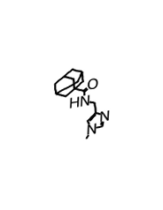 Cn1cnc(CNC(=O)C23CC4CC(CC(C4)C2)C3)c1